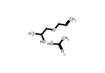 C=CCOCC(C)O.CC(=O)O